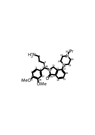 COc1ccc([C@@H](CCCN)N2Cc3c(cccc3N3CCN(C(C)C)CC3)C2=O)cc1OC